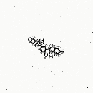 COc1ccc(S(=O)(=O)NC2CCOC2)cc1C(=O)Nc1ncc(F)cc1F